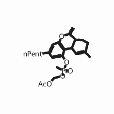 C=C1Oc2cc(CCCCC)cc(OP(C)(=O)OCOC(C)=O)c2C2C=C(C)CCC12